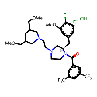 COCC1CC(COC)CN(CCN2CCN(C(=O)c3cc(C(F)(F)F)cc(C(F)(F)F)c3)[C@H](Cc3ccc(F)c(OC)c3)C2)C1.Cl.Cl